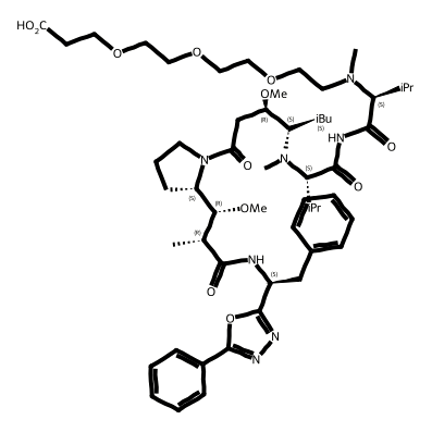 CC[C@H](C)[C@@H]([C@@H](CC(=O)N1CCC[C@H]1[C@H](OC)[C@@H](C)C(=O)N[C@@H](Cc1ccccc1)c1nnc(-c2ccccc2)o1)OC)N(C)[C@H](C(=O)NC(=O)[C@H](C(C)C)N(C)CCOCCOCCOCCC(=O)O)C(C)C